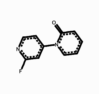 O=c1ccccn1-c1ccnc(F)c1